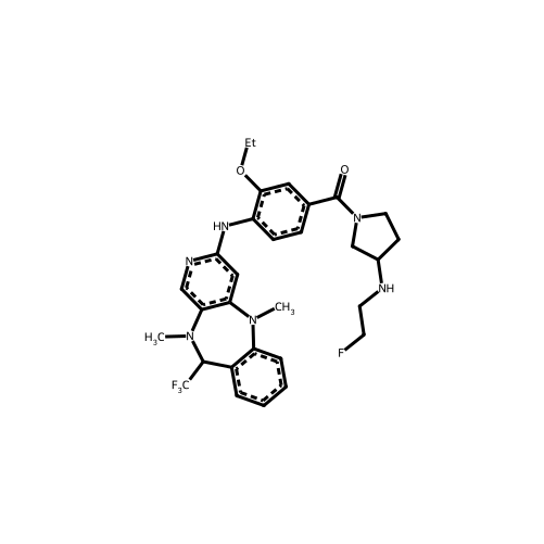 CCOc1cc(C(=O)N2CCC(NCCF)C2)ccc1Nc1cc2c(cn1)N(C)C(C(F)(F)F)c1ccccc1N2C